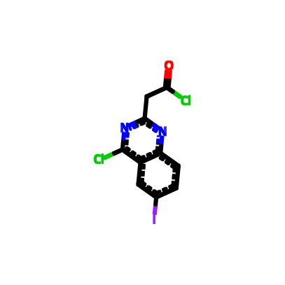 O=C(Cl)Cc1nc(Cl)c2cc(I)ccc2n1